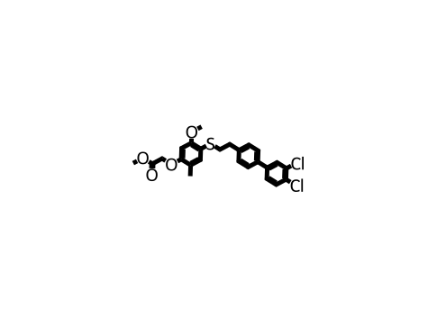 COC(=O)COc1cc(OC)c(SCCc2ccc(-c3ccc(Cl)c(Cl)c3)cc2)cc1C